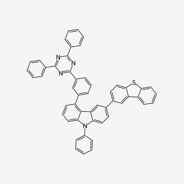 c1ccc(-c2nc(-c3ccccc3)nc(-c3cccc(-c4cccc5c4c4cc(-c6ccc7sc8ccccc8c7c6)ccc4n5-c4ccccc4)c3)n2)cc1